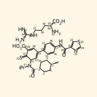 CC(C)N(C(=O)[C@H]1CC[C@H](C)CC1)C1C=C(c2ccc(NC(=O)c3cscn3)cc2)C=C(C(=O)O)C1=S.N=C(N)NCCC[C@H](N)C(=O)O